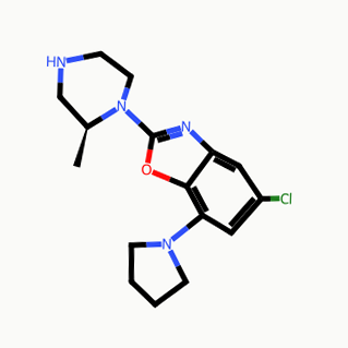 C[C@H]1CNCCN1c1nc2cc(Cl)cc(N3CCCC3)c2o1